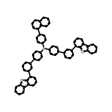 c1cc(-c2ccc(N(c3ccc(-c4cccc(-c5cccc6c5oc5ccccc56)c4)cc3)c3ccc(-c4cccc5ccccc45)cc3)cc2)cc(-c2cccc3c2oc2ccccc23)c1